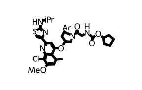 COC1=CC(C)C2C(OC3C[C@@H](C(C)=O)N(C(=O)CNC(=O)OC4CCCC4)C3)=CC(c3csc(NC(C)C)n3)=NC2=C1Cl